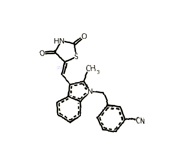 Cc1c(/C=C2\SC(=O)NC2=O)c2ccccc2n1Cc1cccc(C#N)c1